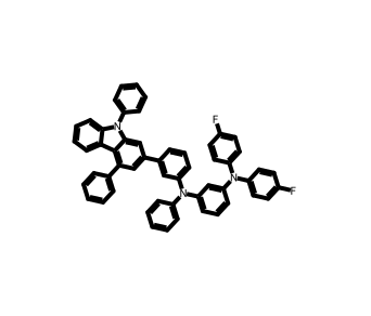 Fc1ccc(N(c2ccc(F)cc2)c2cccc(N(c3ccccc3)c3cccc(-c4cc(-c5ccccc5)c5c6ccccc6n(-c6ccccc6)c5c4)c3)c2)cc1